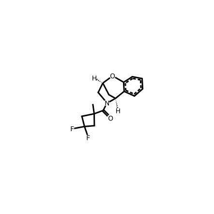 CC1(C(=O)N2C[C@@H]3C[C@H]2c2ccccc2O3)CC(F)(F)C1